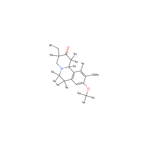 [2H]c1c(OC)c(OC([2H])([2H])[2H])cc2c1C1([2H])N(CC([2H])(CC(C)C)C(=O)C1([2H])[2H])C([2H])([2H])C2([2H])[2H]